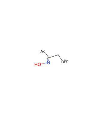 CCCC/C(=N/O)C(C)=O